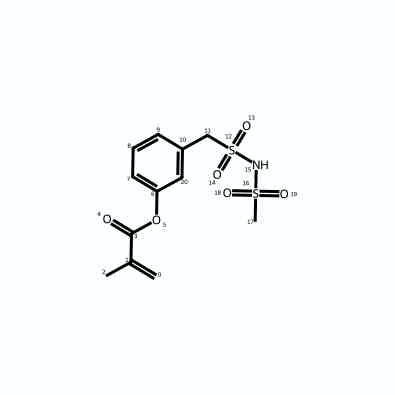 C=C(C)C(=O)Oc1cccc(CS(=O)(=O)NS(C)(=O)=O)c1